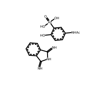 CC(=O)Nc1ccc(O)c([As](=O)(O)O)c1.N=C1NC(=N)c2ccccc21